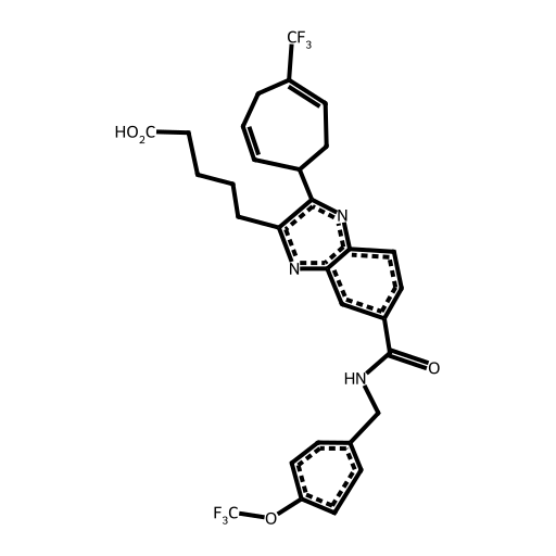 O=C(O)CCCCc1nc2cc(C(=O)NCc3ccc(OC(F)(F)F)cc3)ccc2nc1C1C=CCC(C(F)(F)F)=CC1